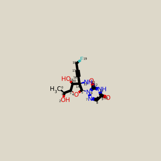 C[C@H](O)[C@H]1O[C@@H](n2ncc(=O)[nH]c2=O)[C@@](N)(C#CCF)C1O